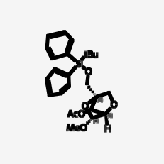 CO[C@@H]1O[C@@]2(CO[Si](c3ccccc3)(c3ccccc3)C(C)(C)C)CO[C@H]1C2OC(C)=O